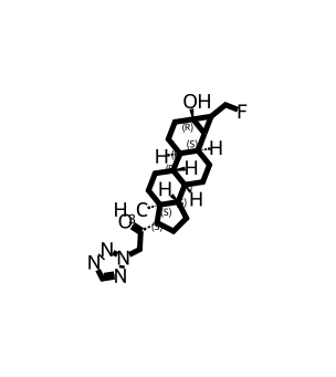 C[C@]12CC[C@@H]3[C@H]4CC[C@]5(O)C(CF)C5[C@H]4CC[C@H]3[C@@H]1CC[C@@H]2C(=O)Cn1ncnn1